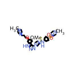 COc1cc2c(cc1OCCCN1CCN(C)CC1)[nH]c1ncnc(N3CCN(C(=S)Nc4ccc(S(=O)(=O)N5CCN(C)CC5)cc4)CC3)c12